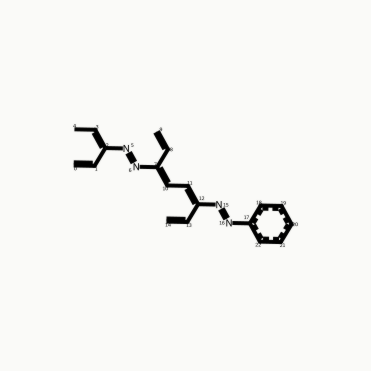 C=C/C(=C\C)N=N/C(C=C)=C/C=C(\C=C)N=Nc1ccccc1